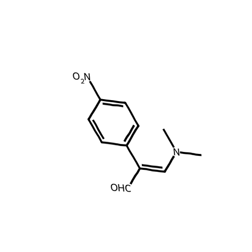 CN(C)/C=C(/C=O)c1ccc([N+](=O)[O-])cc1